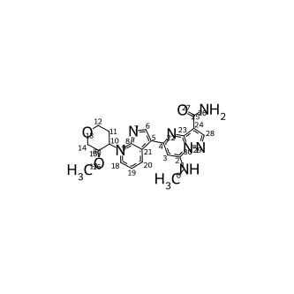 CNc1cc(-c2cnc3n(C4CCOC[C@@H]4OC)cccc2-3)nc2c(C(N)=O)cnn12